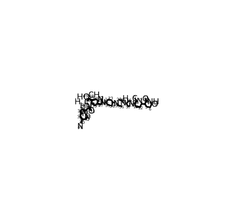 Cc1nc(C2CCC(=O)NC2=O)ccc1N1CC(N2CCN(C3CCC(n4cc5cc(NC(=O)c6ccc7cc(C#N)cnn67)c(C(C)(C)O)cc5n4)CC3)CC2)C1